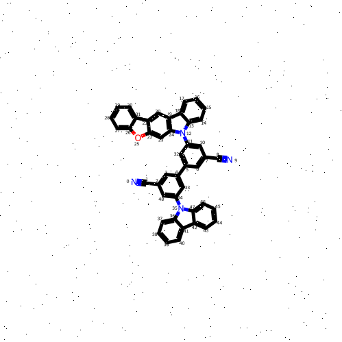 N#Cc1cc(-c2cc(C#N)cc(-n3c4ccccc4c4cc5c(cc43)oc3ccccc35)c2)cc(-n2c3ccccc3c3ccccc32)c1